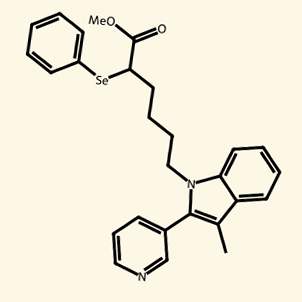 COC(=O)C(CCCCn1c(-c2cccnc2)c(C)c2ccccc21)[Se]c1ccccc1